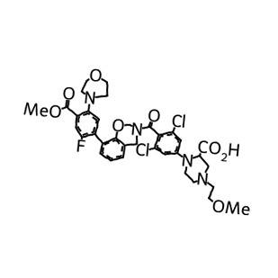 COCCN1CCN(c2cc(Cl)c(C(=O)N3COc4c(cccc4-c4cc(N5CCOCC5)c(C(=O)OC)cc4F)C3)c(Cl)c2)C(C(=O)O)C1